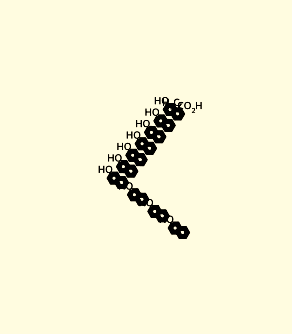 CC(=O)O.Oc1ccc2ccccc2c1.Oc1ccc2ccccc2c1.Oc1ccc2ccccc2c1.Oc1ccc2ccccc2c1.Oc1ccc2ccccc2c1.Oc1ccc2ccccc2c1.Oc1ccc2ccccc2c1.Oc1ccc2ccccc2c1.Oc1ccc2ccccc2c1.Oc1ccc2ccccc2c1